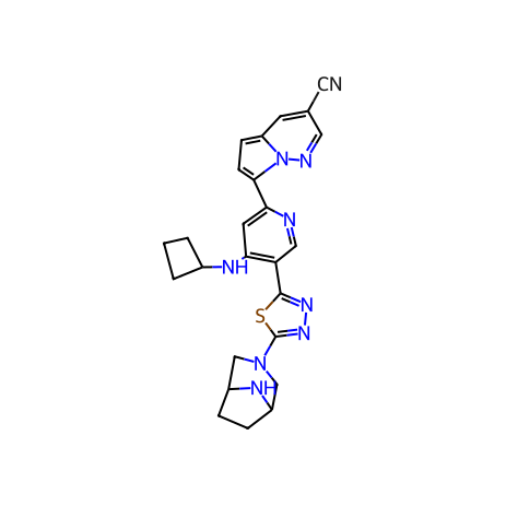 N#Cc1cnn2c(-c3cc(NC4CCC4)c(-c4nnc(N5CC6CCC(C5)N6)s4)cn3)ccc2c1